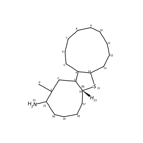 CC1CC2C3CCCCCCCCCC3S[C@@H]2CCCCC1N